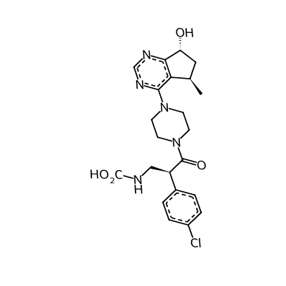 C[C@@H]1C[C@@H](O)c2ncnc(N3CCN(C(=O)[C@H](CNC(=O)O)c4ccc(Cl)cc4)CC3)c21